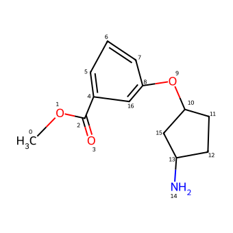 COC(=O)c1cccc(OC2CCC(N)C2)c1